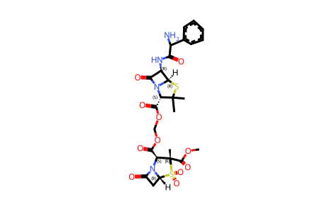 COC(=O)[C@@]1(C)[C@H](C(=O)OCOC(=O)[C@@H]2N3C(=O)[C@@H](NC(=O)C(N)c4ccccc4)[C@H]3SC2(C)C)N2C(=O)C[C@H]2S1(=O)=O